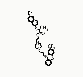 CC(Sc1ccc2cc(Br)ccc2c1)C(=O)OCCN1CCN(CCCN2c3ccccc3Sc3ccc(C(F)(F)F)cc32)CC1